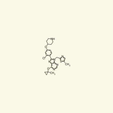 Cc1cnc(Cn2c(-c3ccc(OC4CCNCC4)cc3Cl)nc3c(OC4(C)CC4)ncnc32)s1